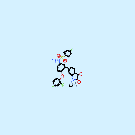 CN1C(=O)C(=O)c2ccc(-c3cc(NS(=O)(=O)c4ccc(F)cc4)ccc3Oc3ccc(F)cc3F)cc21